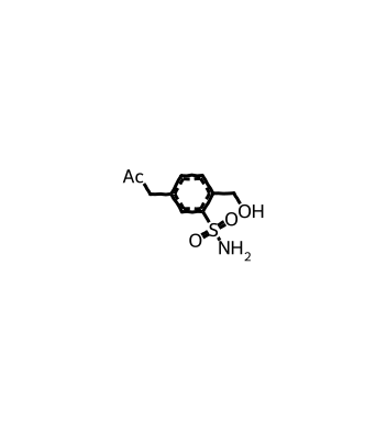 CC(=O)Cc1ccc(CO)c(S(N)(=O)=O)c1